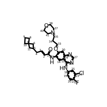 O=C(/C=C/CC1CC2(CCC2)C1)Nc1cc2c(Nc3ccc(F)c(Cl)c3)ncnc2cc1OCCCN1CCOCC1